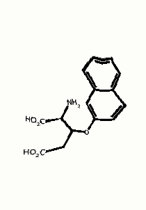 N[C@H](C(=O)O)C(CC(=O)O)Oc1ccc2ccccc2c1